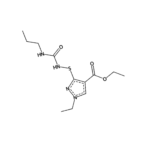 CCCNC(=O)NSc1nn(CC)cc1C(=O)OCC